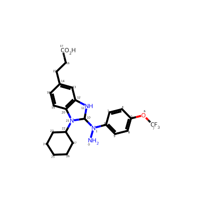 NN(c1ccc(OC(F)(F)F)cc1)C1Nc2cc(CCC(=O)O)ccc2N1C1CCCCC1